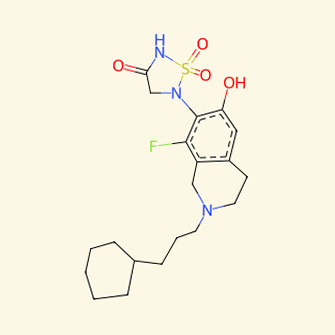 O=C1CN(c2c(O)cc3c(c2F)CN(CCCC2CCCCC2)CC3)S(=O)(=O)N1